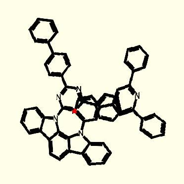 c1ccc(-c2ccc(-c3nc(-c4ccccc4)nc(-n4c5ccccc5c5ccc6c7ccccc7n(-c7cccc(-c8cc(-c9ccccc9)nc(-c9ccccc9)c8)c7)c6c54)n3)cc2)cc1